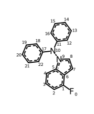 Fc1cccc2c1ccn2N(c1ccccc1)c1ccccc1